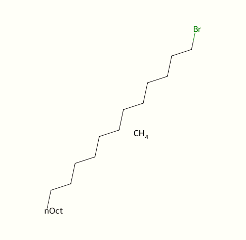 C.CCCCCCCCCCCCCCCCCCCCBr